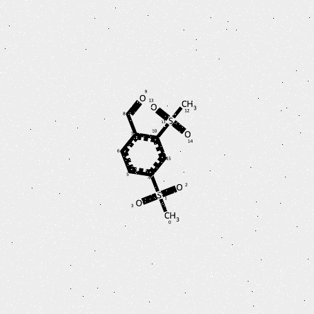 CS(=O)(=O)c1ccc(C=O)c(S(C)(=O)=O)c1